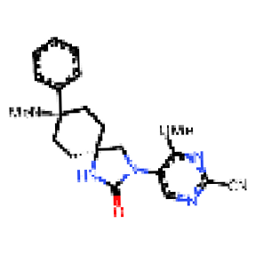 CN[C@]1(c2ccccc2)CC[C@]2(CC1)CN(c1cnc(C#N)nc1OC)C(=O)N2